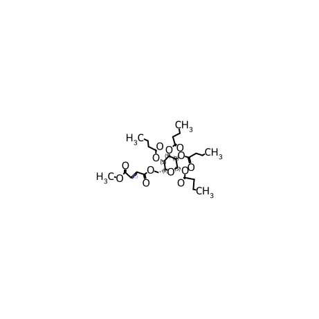 CCCC(=O)O[C@@H]1O[C@H](COC(=O)/C=C/C(=O)OC)[C@H](OC(=O)CCC)[C@H](OC(=O)CCC)[C@H]1OC(=O)CCC